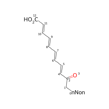 CCCCCCCCCCC(=O)C=CC=CC=CC=CC(=O)O